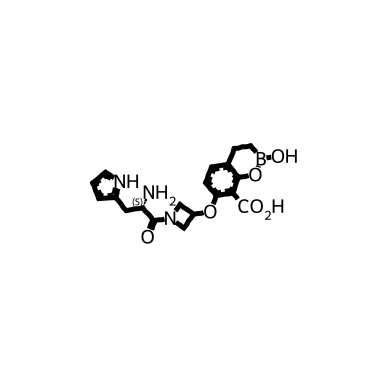 N[C@@H](Cc1ccc[nH]1)C(=O)N1CC(Oc2ccc3c(c2C(=O)O)OB(O)CC3)C1